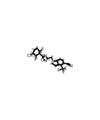 N#Cc1ccc2c(ccn2Cc2noc(-c3c(F)ccc(Cl)c3F)n2)c1C(F)(F)F